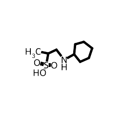 CC(CNC1CCCCC1)S(=O)(=O)O